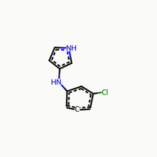 Clc1cccc(Nc2cc[nH]c2)c1